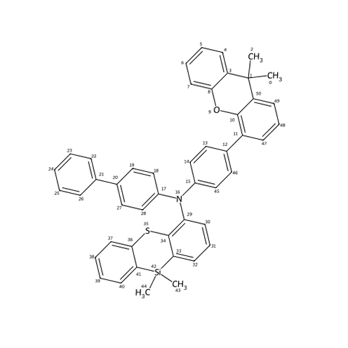 CC1(C)c2ccccc2Oc2c(-c3ccc(N(c4ccc(-c5ccccc5)cc4)c4cccc5c4Sc4ccccc4[Si]5(C)C)cc3)cccc21